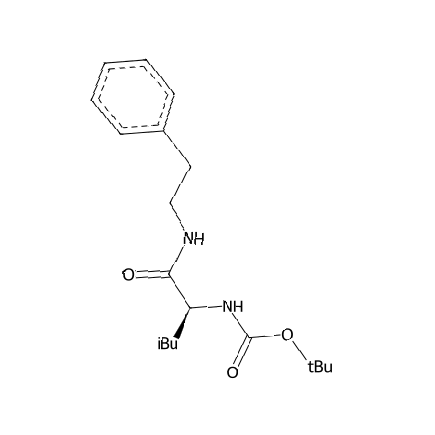 CCC(C)[C@H](NC(=O)OC(C)(C)C)C(=O)NCCc1ccccc1